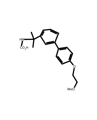 COCCOc1ccc(-c2cccc(C(C)(C)NC(=O)O)c2)cc1